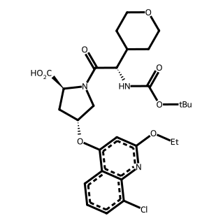 CCOc1cc(O[C@@H]2C[C@@H](C(=O)O)N(C(=O)[C@@H](NC(=O)OC(C)(C)C)C3CCOCC3)C2)c2cccc(Cl)c2n1